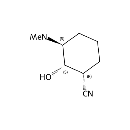 CN[C@H]1CCC[C@H](C#N)[C@@H]1O